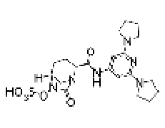 O=C(Nc1cc(N2CCCC2)nc(N2CCCC2)c1)[C@@H]1CC[C@@H]2CN1C(=O)N2OS(=O)(=O)O